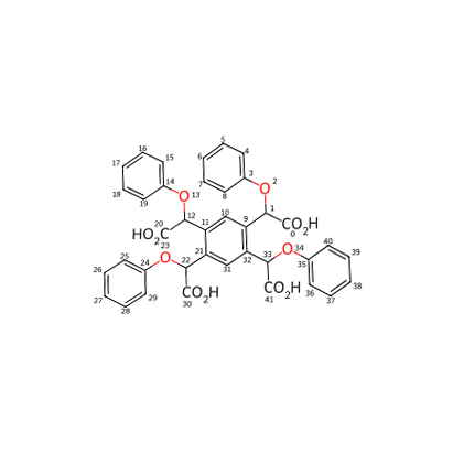 O=C(O)C(Oc1ccccc1)c1cc(C(Oc2ccccc2)C(=O)O)c(C(Oc2ccccc2)C(=O)O)cc1C(Oc1ccccc1)C(=O)O